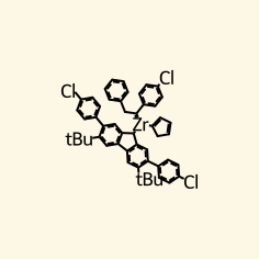 CC(C)(C)c1cc2c(cc1-c1ccc(Cl)cc1)[CH]([Zr]([C]1=CC=CC1)=[C](Cc1ccccc1)c1ccc(Cl)cc1)c1cc(-c3ccc(Cl)cc3)c(C(C)(C)C)cc1-2